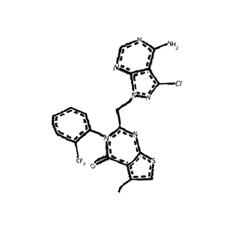 Cc1csc2nc(Cn3nc(Cl)c4c(N)ncnc43)n(-c3ccccc3C(F)(F)F)c(=O)c12